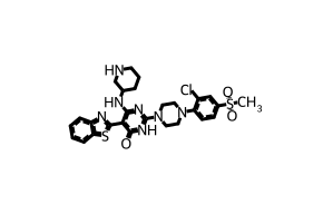 CS(=O)(=O)c1ccc(N2CCN(c3nc(NC4CCCNC4)c(-c4nc5ccccc5s4)c(=O)[nH]3)CC2)c(Cl)c1